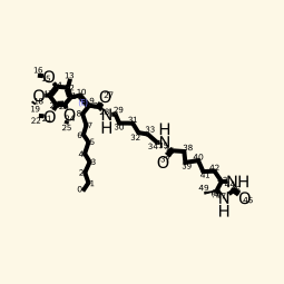 CCCCCCCCC/C(=C\c1c(C)c(OC)c(OC)c(OC)c1OC)C(=O)NCCCCCCNC(=O)CCCCCC1NC(=O)N[C@H]1C